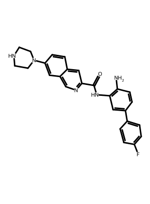 Nc1ccc(-c2ccc(F)cc2)cc1NC(=O)c1cc2ccc(N3CCNCC3)cc2cn1